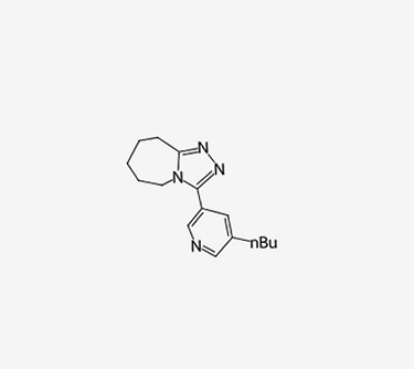 CCCCc1cncc(-c2nnc3n2CCCCC3)c1